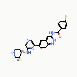 O=C(Nc1cc2cc(-c3cncc(N[C@H]4CCNC[C@@H]4F)n3)ccc2nn1)c1ccc(F)cc1